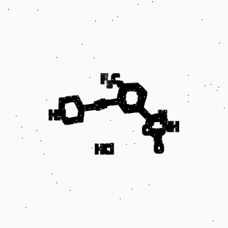 Cl.O=c1[nH]nc(-c2ccc(C(F)(F)F)c(C#CC3CCNCC3)c2)o1